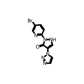 O=c1c(-n2ccnn2)c[nH]n1-c1ccc(Br)cn1